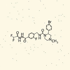 CN1CCN(C(=O)NCc2ccc(C(=O)NNC(=O)C(F)F)cc2F)C(c2ccc(Br)cc2)C1